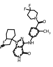 Cc1cc(Nc2nn(C3(CC#N)CCCCC3F)c3cc[nH]c(=O)c23)ccc1C(=O)N1CCC(F)(F)CC1